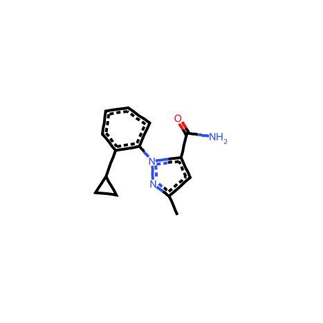 Cc1cc(C(N)=O)n(-c2ccccc2C2CC2)n1